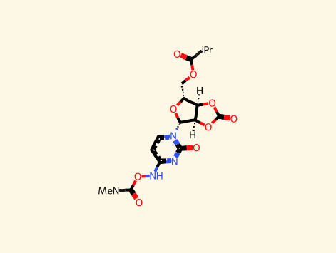 CNC(=O)ONc1ccn([C@@H]2O[C@H](COC(=O)C(C)C)[C@H]3OC(=O)O[C@H]32)c(=O)n1